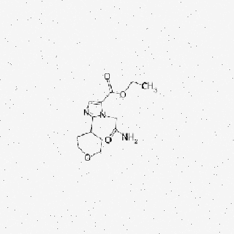 CCOC(=O)c1cnc(C2CCOCC2)n1CC(N)=O